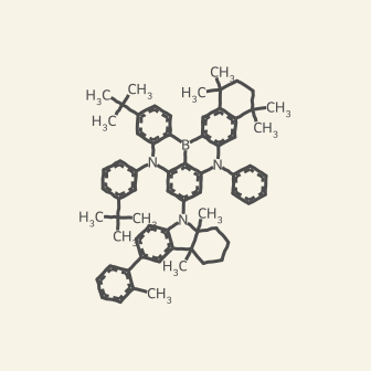 Cc1ccccc1-c1ccc2c(c1)C1(C)CCCCC1(C)N2c1cc2c3c(c1)N(c1ccccc1)c1cc4c(cc1B3c1ccc(C(C)(C)C)cc1N2c1cccc(C(C)(C)C)c1)C(C)(C)CCC4(C)C